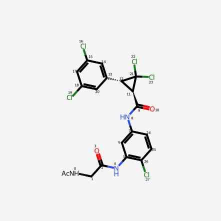 CC(=O)NCC(=O)Nc1cc(NC(=O)[C@H]2[C@H](c3cc(Cl)cc(Cl)c3)C2(Cl)Cl)ccc1Cl